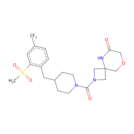 CS(=O)(=O)c1cc(C(F)(F)F)ccc1CC1CCN(C(=O)N2CC3(COCC(=O)N3)C2)CC1